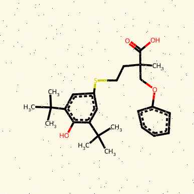 CC(CCSc1cc(C(C)(C)C)c(O)c(C(C)(C)C)c1)(COc1ccccc1)C(=O)O